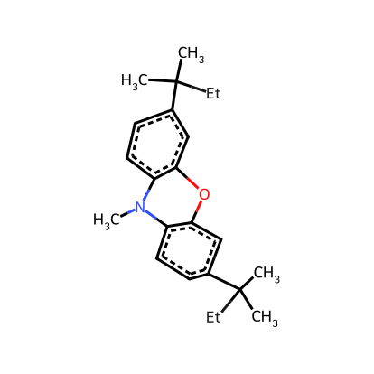 CCC(C)(C)c1ccc2c(c1)Oc1cc(C(C)(C)CC)ccc1N2C